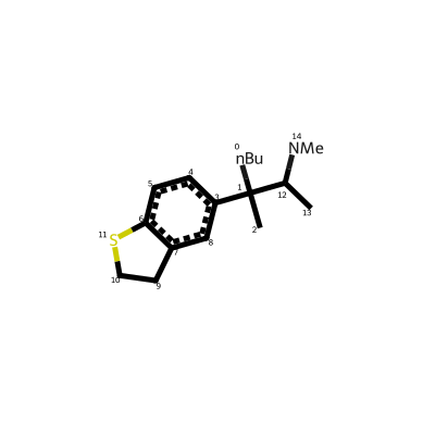 CCCCC(C)(c1ccc2c(c1)CCS2)C(C)NC